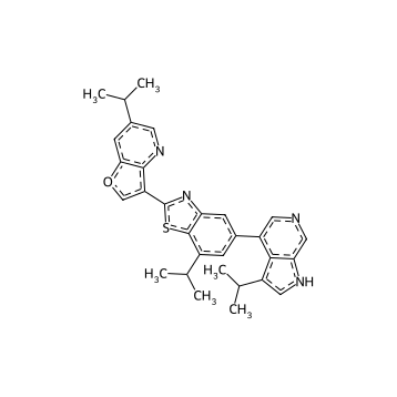 CC(C)c1cnc2c(-c3nc4cc(-c5cncc6[nH]cc(C(C)C)c56)cc(C(C)C)c4s3)coc2c1